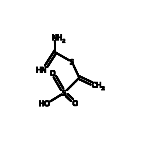 C=C(SC(=N)N)S(=O)(=O)O